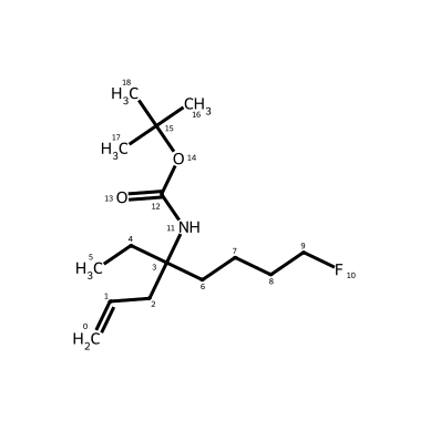 C=CCC(CC)(CCCCF)NC(=O)OC(C)(C)C